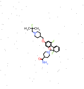 CC(C)(F)CN1CCC(COc2ccc(C3=CC=CCC3(F)C(=O)N3CCC(C(N)=O)CC3)c(F)c2)CC1